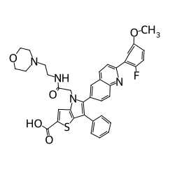 COc1ccc(F)c(-c2ccc3cc(-c4c(-c5ccccc5)c5sc(C(=O)O)cc5n4CC(=O)NCCN4CCOCC4)ccc3n2)c1